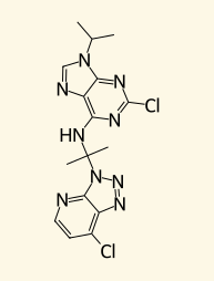 CC(C)n1cnc2c(NC(C)(C)n3nnc4c(Cl)ccnc43)nc(Cl)nc21